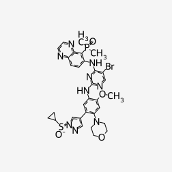 COc1cc(N2CCOCC2)c(-c2cnn([S+]([O-])C3CC3)c2)cc1Nc1ncc(Br)c(Nc2ccc3nccnc3c2P(C)(C)=O)n1